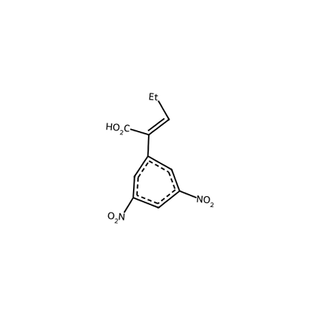 CC/C=C(\C(=O)O)c1cc([N+](=O)[O-])cc([N+](=O)[O-])c1